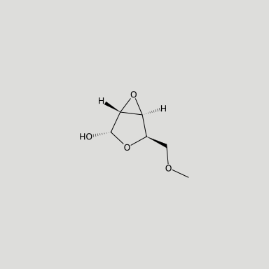 COC[C@H]1O[C@H](O)[C@@H]2O[C@H]21